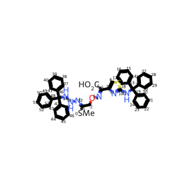 CSC(CON=C(C(=O)O)c1csc(NC(c2ccccc2)(c2ccccc2)c2ccccc2)n1)=NNNC(c1ccccc1)(c1ccccc1)c1ccccc1